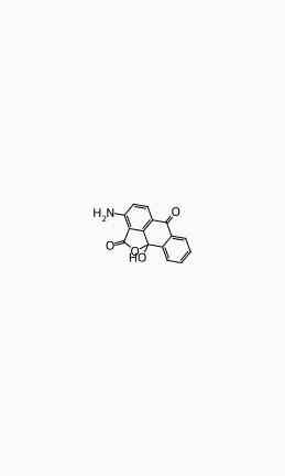 Nc1ccc2c3c1C(=O)OC3(O)c1ccccc1C2=O